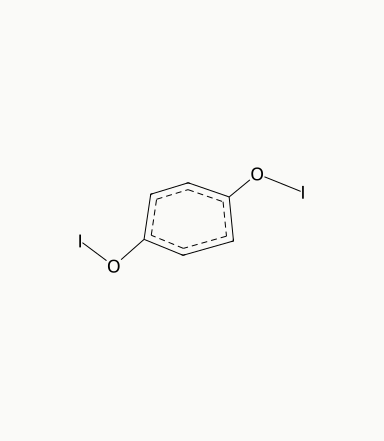 IOc1ccc(OI)cc1